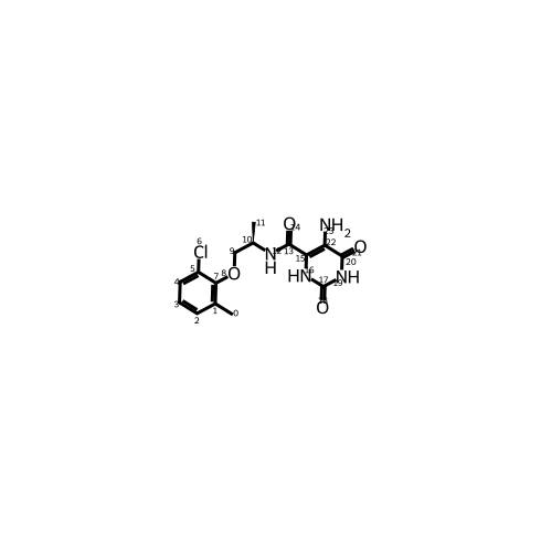 Cc1cccc(Cl)c1OC[C@@H](C)NC(=O)c1[nH]c(=O)[nH]c(=O)c1N